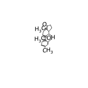 CC1=CC[C@@]2(C)C(=C1)CCC1C3CCC(=O)[C@@]3(C)CC[C@@]12O